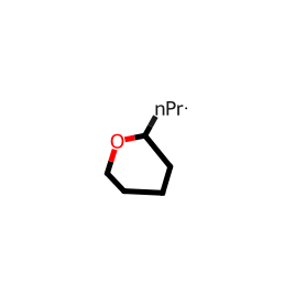 CC[CH]C1CCCCO1